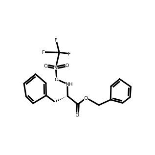 O=C(OCc1ccccc1)[C@H](Cc1ccccc1)NOS(=O)(=O)C(F)(F)F